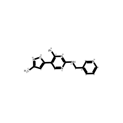 Cc1cc(-c2cnc(NCc3cccnc3)nc2C(C)C)on1